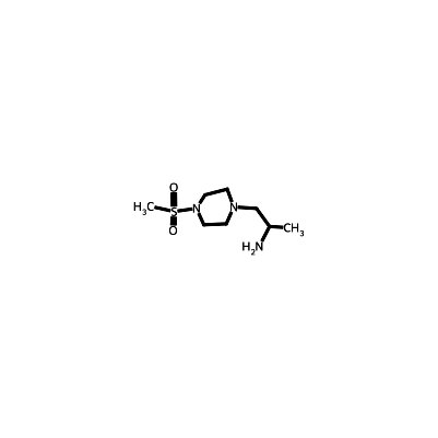 CC(N)CN1CCN(S(C)(=O)=O)CC1